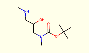 CNCC(O)CN(C)C(=O)OC(C)(C)C